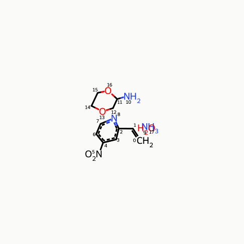 C=Cc1cc([N+](=O)[O-])ccn1.N.NC1COCCO1.O